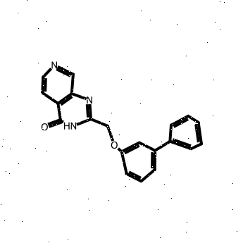 O=c1[nH]c(COc2cccc(-c3ccccc3)c2)nc2cnccc12